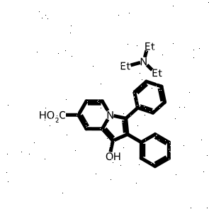 CCN(CC)CC.O=C(O)c1ccn2c(-c3ccccc3)c(-c3ccccc3)c(O)c2c1